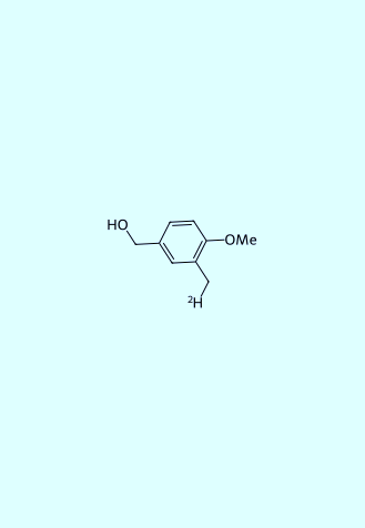 [2H]Cc1cc(CO)ccc1OC